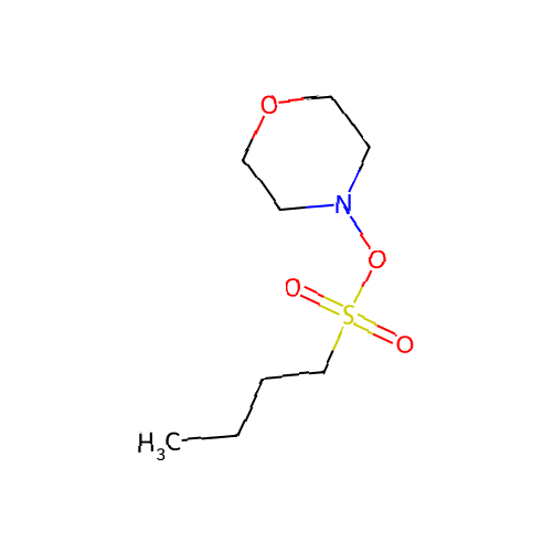 CCCCS(=O)(=O)ON1CCOCC1